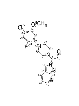 COc1cc(N2CCN(C(C=O)n3cc4cccnc4n3)CC2)c(F)cc1Cl